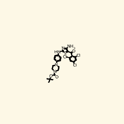 CC(C)(C)OC(=O)N1CCN(c2ccc(Nc3nc(N)c(C(=O)c4c(Cl)cc(Cl)cc4Cl)s3)cc2)CC1